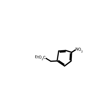 [CH2]COC(=O)Cc1ccc([N+](=O)[O-])cc1